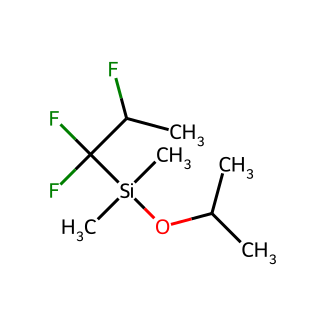 CC(C)O[Si](C)(C)C(F)(F)C(C)F